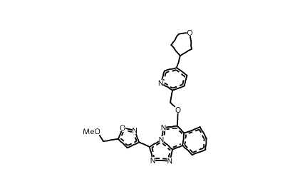 COCc1cc(-c2nnc3c4ccccc4c(OCc4ccc(C5CCOC5)cn4)nn23)no1